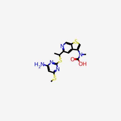 CSc1cc(N)nc(SC(C)c2cc3c(N(C)C(=O)O)csc3cn2)n1